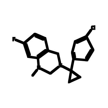 CN1CN(C2(c3ccc(Cl)cc3)CC2)Cc2ccc(F)cc21